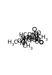 C#C[C@]1(O)[C@H](n2cnc3c(OCC)nc(C)nc32)O[C@](F)(CO[P@@](=O)(NC(C)C(=O)OC2CCCCC2)Oc2ccccc2)[C@H]1O